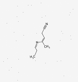 CC/C=N\C(C)=C/CC#N